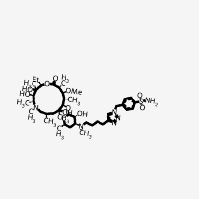 CC[C@H]1OC(=O)[C@H](C)[C@@H](OC)[C@H](C)[C@@H](O[C@@H]2O[C@H](C)C[C@H](N(C)CCCCc3cn(Cc4ccc(S(N)(=O)=O)cc4)nn3)[C@H]2O)[C@](C)(O)C[C@@H](C)CN(C)[C@H](C)[C@@H](O)[C@]1(C)O